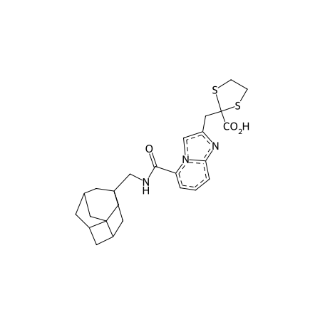 O=C(NCC12CC3CC4CC(C1)C4(C3)C2)c1cccc2nc(CC3(C(=O)O)SCCS3)cn12